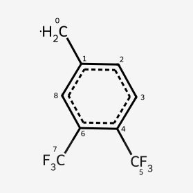 [CH2]c1ccc(C(F)(F)F)c(C(F)(F)F)c1